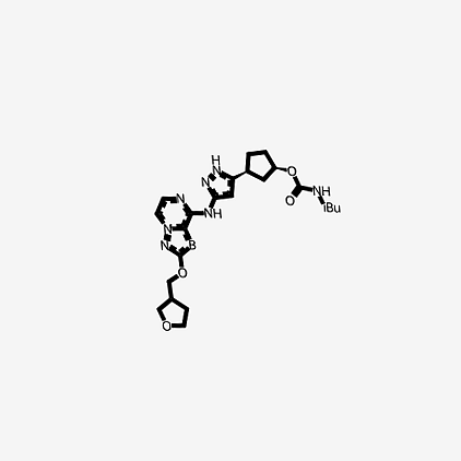 CCC(C)NC(=O)O[C@@H]1CC[C@H](c2cc(Nc3nccn4nc(OCC5CCOC5)bc34)n[nH]2)C1